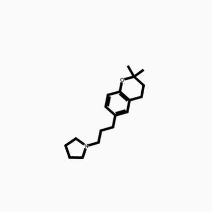 CC1(C)CCc2cc(CCCN3CCCC3)ccc2O1